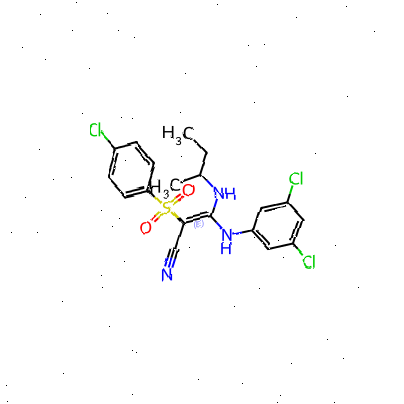 CCC(C)N/C(Nc1cc(Cl)cc(Cl)c1)=C(/C#N)S(=O)(=O)c1ccc(Cl)cc1